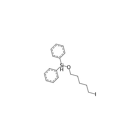 ICCCCCO[SiH](c1ccccc1)c1ccccc1